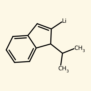 [Li][C]1=Cc2ccccc2C1C(C)C